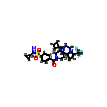 O=C(c1ccc(S(=O)(=O)NC2CC2)cc1)N1CCC2(CC1)c1ccc(C(F)(F)F)n1CCN2C1CCC1